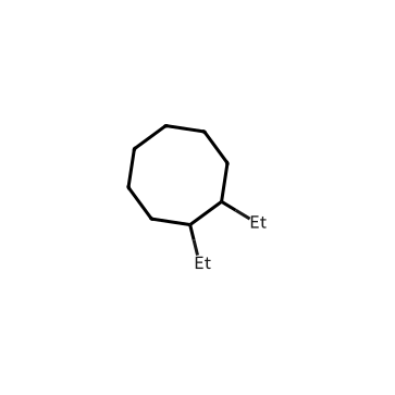 CCC1CCCCCCC1CC